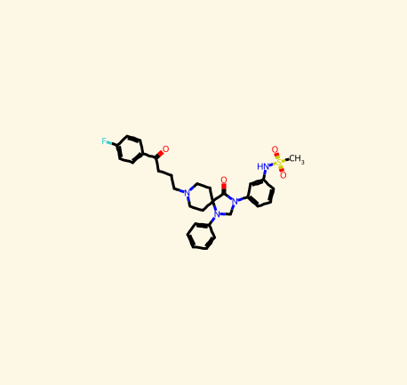 CS(=O)(=O)Nc1cccc(N2CN(c3ccccc3)C3(CCN(CCCC(=O)c4ccc(F)cc4)CC3)C2=O)c1